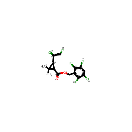 CC1(C)C(C(=O)OCc2c(F)c(Cl)cc(Cl)c2F)C1C(Cl)=CCl